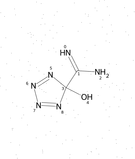 N=C(N)C1(O)N=NN=N1